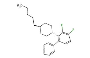 CCCCC[C@H]1CC[C@H](c2c(-c3ccccc3)ccc(F)c2F)CC1